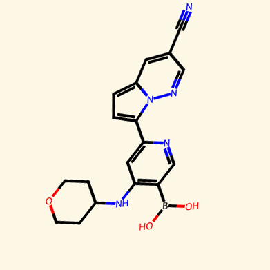 N#Cc1cnn2c(-c3cc(NC4CCOCC4)c(B(O)O)cn3)ccc2c1